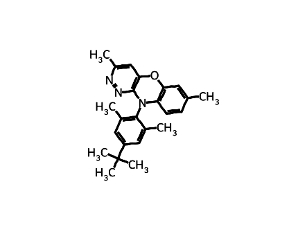 Cc1ccc2c(c1)Oc1cc(C)nnc1N2c1c(C)cc(C(C)(C)C)cc1C